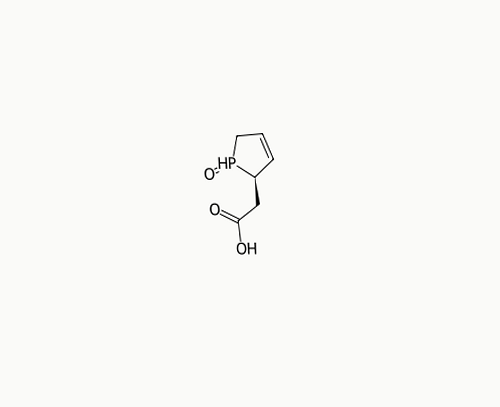 O=C(O)C[C@@H]1C=CC[PH]1=O